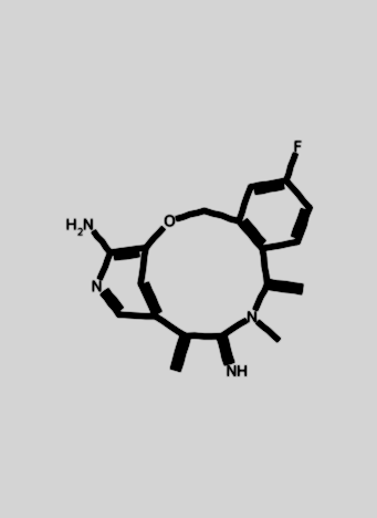 C=C1C(=N)N(C)C(=C)c2ccc(F)cc2COc2cc1cnc2N